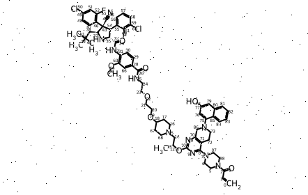 C=CC(=O)N1CCN(c2nc(O[C@H](C)CN3CCC(OCCOCCNC(=O)c4ccc(NC(=O)[C@@H]5N[C@@H](CC(C)(C)C)[C@](C#N)(c6ccc(Cl)cc6F)C5c5cccc(Cl)c5F)c(OC)c4)CC3)nc3c2CCN(c2cc(O)cc4ccccc24)C3)CC1